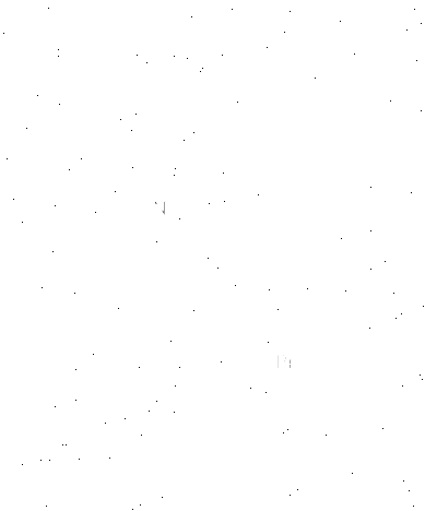 Brc1ccc(-c2ccc3c(c2)c2ccccc2n3-c2ccccc2)cc1-c1ccccc1